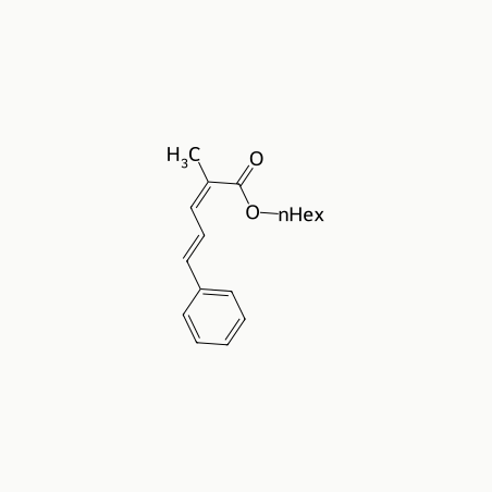 CCCCCCOC(=O)C(C)=CC=Cc1ccccc1